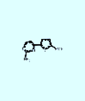 [CH2]Nc1ccc(-c2ccnc(N)n2)s1